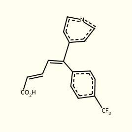 O=C(O)C=CC=C(c1ccncc1)c1ccc(C(F)(F)F)cc1